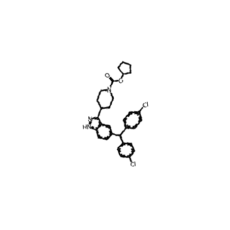 O=C(OC1CCCC1)N1CCC(c2n[nH]c3ccc(C(c4ccc(Cl)cc4)c4ccc(Cl)cc4)cc23)CC1